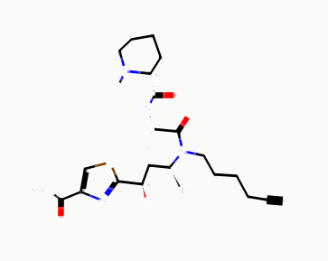 C#CCCCCN(C(=O)[C@@H](NC(=O)[C@H]1CCCCN1C)[C@@H](C)CC)[C@H](C[C@@H](O)c1nc(C(=O)OC)cs1)C(C)C